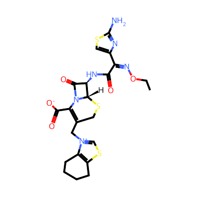 CCO/N=C(\C(=O)N[C@@H]1C(=O)N2C(C(=O)[O-])=C(C[n+]3csc4c3CCCC4)CS[C@@H]12)c1csc(N)n1